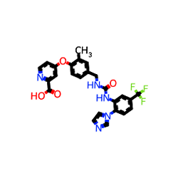 Cc1cc(CNC(=O)Nc2cc(C(F)(F)F)ccc2-n2ccnc2)ccc1Oc1ccnc(C(=O)O)c1